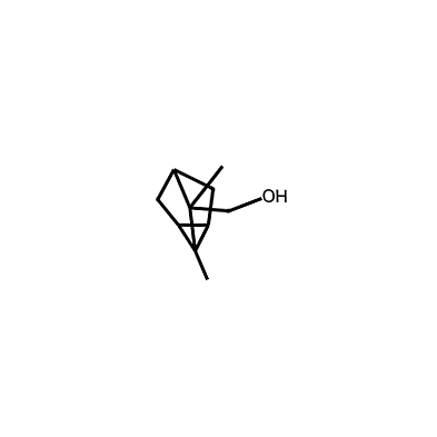 CC1(CO)C2CC3C(C2)C31C